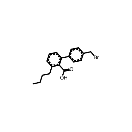 CCCCc1cccc(-c2ccc(CBr)cc2)c1C(=O)O